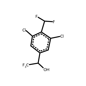 OC(c1cc(Cl)c(C(F)F)c(Cl)c1)C(F)(F)F